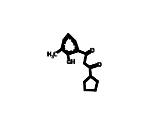 Cc1cccc(C(=O)CC(=O)C2CCCC2)c1O